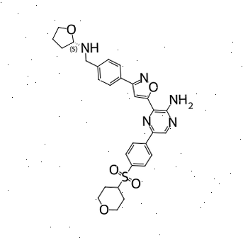 Nc1ncc(-c2ccc(S(=O)(=O)C3CCOCC3)cc2)nc1-c1cc(-c2ccc(CN[C@@H]3CCCO3)cc2)no1